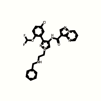 O=C(Nc1cn(CCNCc2ccccc2)nc1-c1cc(Cl)ccc1OC(F)F)c1cnn2cccnc12